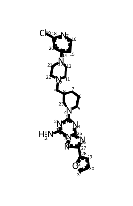 Nc1nc(N2CCCC(CN3CCN(c4ccnc(Cl)c4)CC3)C2)nc2nc(-c3ccco3)nn12